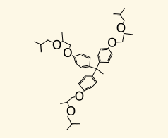 C=C(C)COC(C)COc1ccc(C(C)(c2ccc(OCC(C)OCC(=C)C)cc2)c2ccc(OCC(C)OCC(=C)C)cc2)cc1